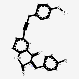 COc1ccc(CC#Cc2ccc3c(c2)C(=O)/C(=C\c2ccc(Cl)cc2)C(=O)N3)cc1